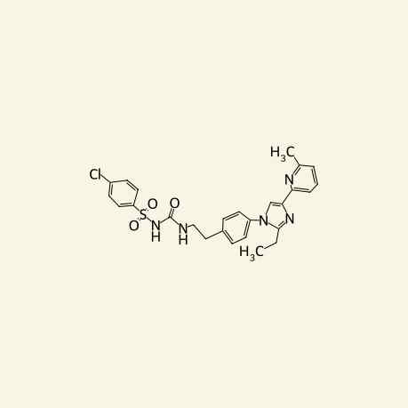 CCc1nc(-c2cccc(C)n2)cn1-c1ccc(CCNC(=O)NS(=O)(=O)c2ccc(Cl)cc2)cc1